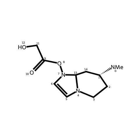 CN[C@@H]1CCN2C=CN(OC(=O)CO)C2C1